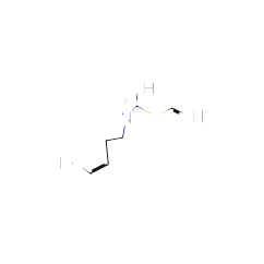 C=CS[C@H](C)NCC/C=C\C